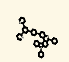 c1ccc(-c2nc3ccc(-c4ccc(-c5cc(-c6ccccn6)cc(-c6ccccn6)c5)cc4)cc3c3c2ccc2c3c3ccccc3n2-c2ccccc2)cc1